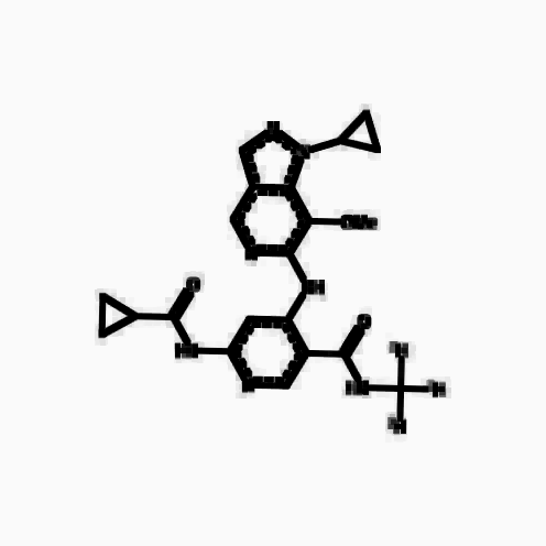 [2H]C([2H])([2H])NC(=O)c1cnc(NC(=O)C2CC2)cc1Nc1ncc2cnn(C3CC3)c2c1OC